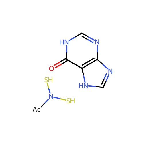 CC(=O)N(S)S.O=c1[nH]cnc2nc[nH]c12